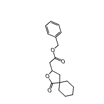 O=C(CC1CC2(CCCCC2)C(=O)O1)OCc1ccccc1